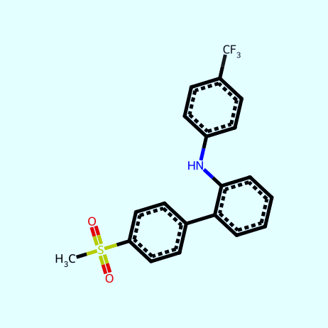 CS(=O)(=O)c1ccc(-c2ccccc2Nc2ccc(C(F)(F)F)cc2)cc1